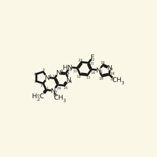 C=C1C2CCCN2c2nc(Nc3ccc(-n4cnc(C)c4)c(F)c3)ncc2N1C